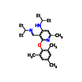 CCC(CC)/N=C/c1c(NC(CC)CC)cc(C)nc1Oc1c(C)cc(C)cc1C